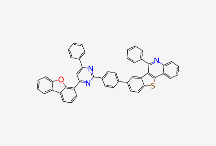 c1ccc(-c2cc(-c3cccc4c3oc3ccccc34)nc(-c3ccc(-c4ccc5sc6c7ccccc7nc(-c7ccccc7)c6c5c4)cc3)n2)cc1